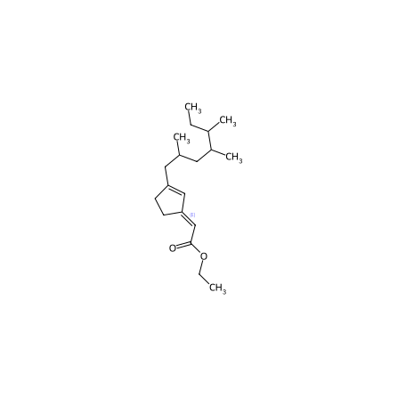 CCOC(=O)/C=C1/C=C(CC(C)CC(C)C(C)CC)CC1